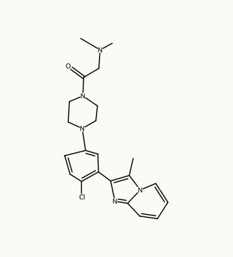 Cc1c(-c2cc(N3CCN(C(=O)CN(C)C)CC3)ccc2Cl)nc2ccccn12